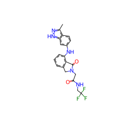 Cc1n[nH]c2cc(Nc3cccc4c3C(=O)N(CC(=O)NCC(F)(F)F)C4)ccc12